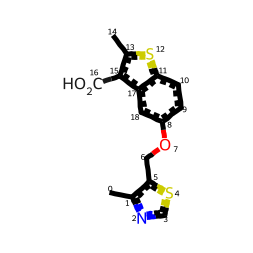 Cc1ncsc1COc1ccc2sc(C)c(C(=O)O)c2c1